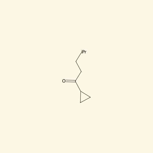 CC(C)CCC(=O)C1CC1